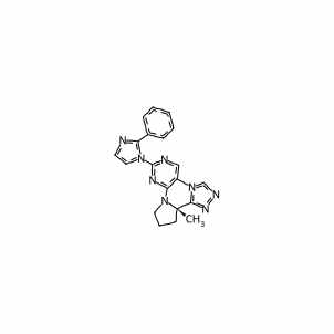 C[C@@]12CCCN1c1nc(-n3ccnc3-c3ccccc3)ncc1-n1cnnc12